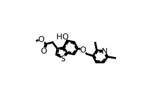 COC(=O)Cc1csc2cc(OCc3ccc(C)nc3C)cc(O)c12